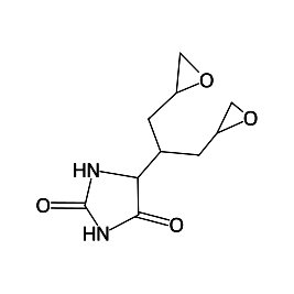 O=C1NC(=O)C(C(CC2CO2)CC2CO2)N1